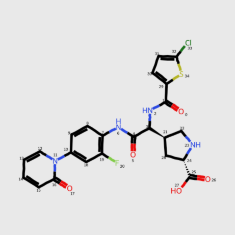 O=C(NC(C(=O)Nc1ccc(-n2ccccc2=O)cc1F)[C@H]1CN[C@H](C(=O)O)C1)c1ccc(Cl)s1